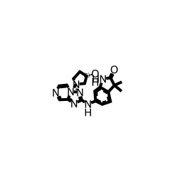 CC1(C)C(=O)Nc2cc(NC3=N[N+]4(N5CC[C@H](O)C5)C=CN=CC4=N3)ccc21